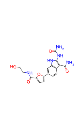 NC(=O)Nc1[nH]c2cc(-c3ccc(C(=O)NCCO)o3)ccc2c1C(N)=O